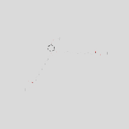 COC(=O)CCCCCCCCCCOc1ccc(OC)cc1OCCCCCCCCCCC(=O)OC